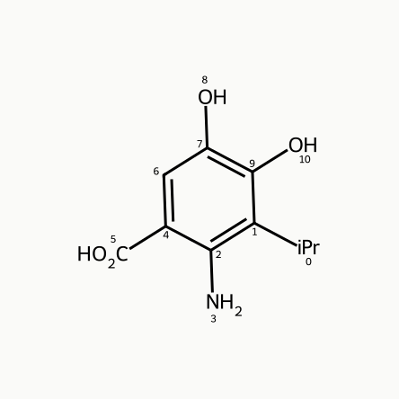 CC(C)c1c(N)c(C(=O)O)cc(O)c1O